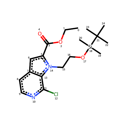 CCOC(=O)c1cc2ccnc(Cl)c2n1CCO[Si](C)(C)C(C)(C)C